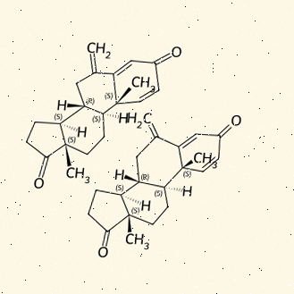 C=C1C[C@@H]2[C@H](CC[C@]3(C)C(=O)CC[C@@H]23)[C@@]2(C)C=CC(=O)C=C12.C=C1C[C@@H]2[C@H](CC[C@]3(C)C(=O)CC[C@@H]23)[C@@]2(C)C=CC(=O)C=C12